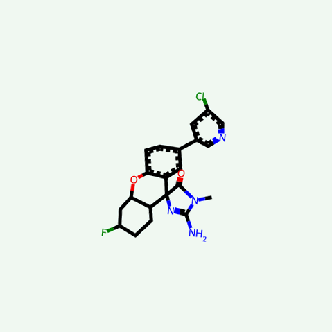 CN1C(=O)C2(N=C1N)c1cc(-c3cncc(Cl)c3)ccc1OC1CC(F)CCC12